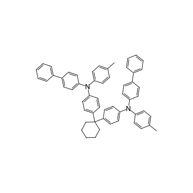 Cc1ccc(N(c2ccc(-c3ccccc3)cc2)c2ccc(C3(c4ccc(N(c5ccc(C)cc5)c5ccc(-c6ccccc6)cc5)cc4)CCCCC3)cc2)cc1